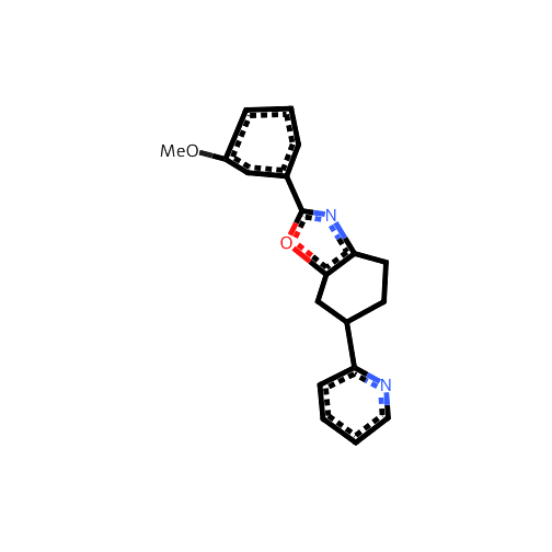 COc1cccc(-c2nc3c(o2)CC(c2ccccn2)CC3)c1